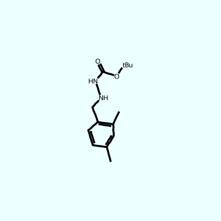 Cc1ccc(CNNC(=O)OC(C)(C)C)c(C)c1